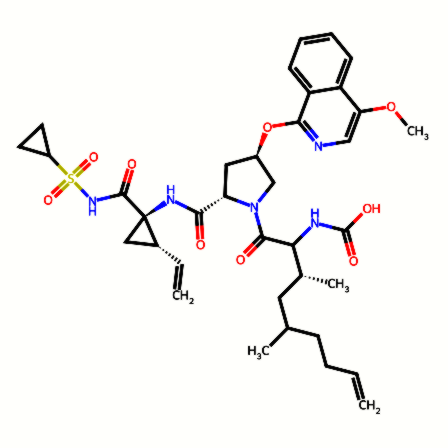 C=CCCC(C)C[C@@H](C)C(NC(=O)O)C(=O)N1C[C@H](Oc2ncc(OC)c3ccccc23)C[C@H]1C(=O)N[C@]1(C(=O)NS(=O)(=O)C2CC2)C[C@H]1C=C